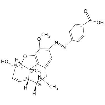 COc1c(N=Nc2ccc(C(=O)O)cc2)cc2c3c1O[C@H]1[C@@H](O)C=C[C@H]4[C@@H](C2)N(C)CC[C@@]341